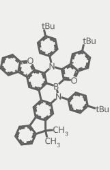 CC(C)(C)c1ccc(N2B3c4oc5ccc(C(C)(C)C)cc5c4N(c4ccc(C(C)(C)C)cc4)c4c3c(cc3c4oc4ccccc43)-c3cc4c(cc32)C(C)(C)c2ccccc2-4)cc1